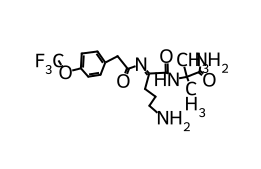 CC(C)(NC(=O)/C(CCCN)=N/C(=O)Cc1ccc(OC(F)(F)F)cc1)C(N)=O